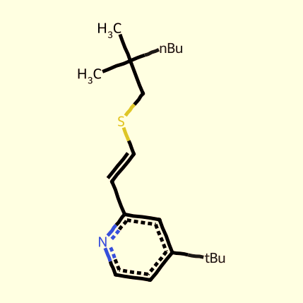 CCCCC(C)(C)CS/C=C/c1cc(C(C)(C)C)ccn1